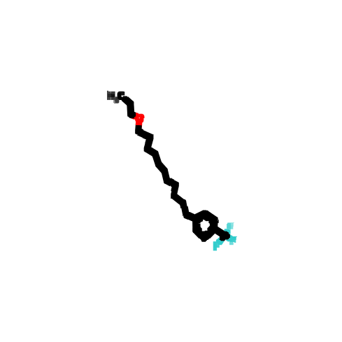 CCCOCCCCCCCCCCCc1ccc(C(F)(F)F)cc1